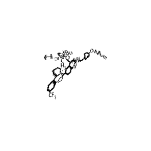 COc1ccc(CNc2cc(CO[Si](C)(C)C(C)(C)C)c3cc(C(=O)N4CCCCC4c4ccc(C(F)(F)F)cc4)ccc3n2)cc1